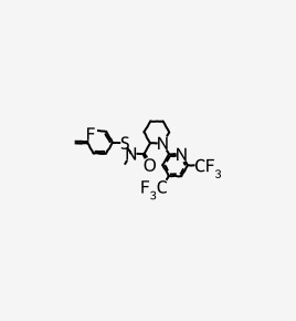 C=C(F)/C=C\C(=C/C)SN(C)C(=O)C1CCCCN1c1cc(C(F)(F)F)cc(C(F)(F)F)n1